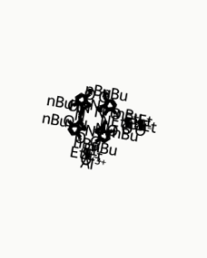 CCCCOc1ccc(OCCCC)c2c1-c1nc-2nc2[nH]c(nc3nc(nc4[nH]c(n1)c1c(OCCCC)ccc(OCCCC)c41)-c1c(OCCCC)ccc(OCCCC)c1-3)c1c(OCCCC)ccc(OCCCC)c21.CC[Si]([O-])(CC)CC.CC[Si]([O-])(CC)CC.CC[Si]([O-])(CC)CC.[Al+3]